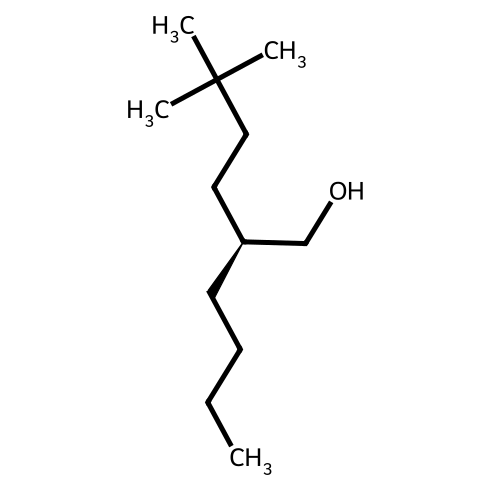 CCCC[C@H](CO)CCC(C)(C)C